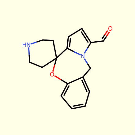 O=Cc1ccc2n1Cc1ccccc1OC21CCNCC1